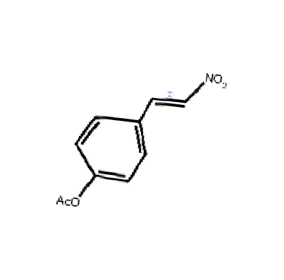 CC(=O)Oc1ccc(/C=C/[N+](=O)[O-])cc1